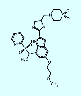 COCCOc1cc(N(C)S(=O)(=O)c2ccccn2)c2[nH]c(C3=NCC(CN4CCS(=O)(=O)CC4)S3)cc2c1